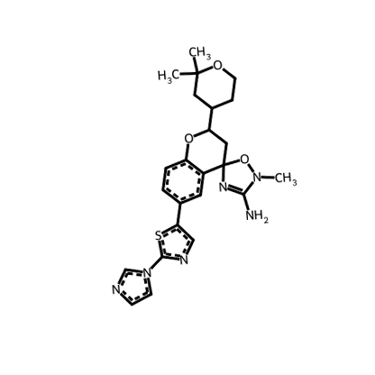 CN1OC2(CC(C3CCOC(C)(C)C3)Oc3ccc(-c4cnc(-n5ccnc5)s4)cc32)N=C1N